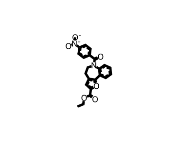 CCOC(=O)c1cc2c(o1)-c1ccccc1N(C(=O)c1ccc([N+](=O)[O-])cc1)CC2